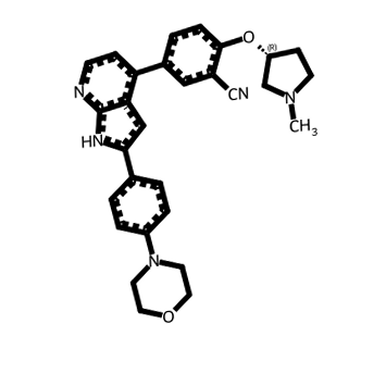 CN1CC[C@@H](Oc2ccc(-c3ccnc4[nH]c(-c5ccc(N6CCOCC6)cc5)cc34)cc2C#N)C1